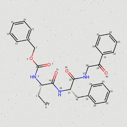 CC(C)C[C@H](NC(=O)OCc1ccccc1)C(=O)N[C@@H](Cc1ccccc1)C(=O)NCC(=O)c1ccccc1